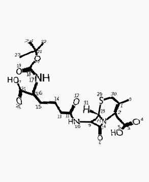 CC1=C(C(=O)O)N2C(=O)C(NC(=O)CCCC(NC(=O)OC(C)(C)C)C(=O)O)[C@@H]2SC1